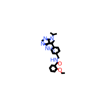 CCOc1ccccc1C(=O)NCc1ccc(-c2cn(C(C)C)c3ncnc(N)c23)cc1